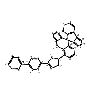 C1=CC2=C(CC1)C1(c3ccccc3Oc3c(C4CC=C(c5ccc(-c6ccccc6)nn5)S4)cccc31)c1ccccc12